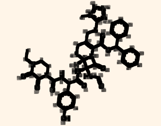 CCN1CCN(C(=O)NC(C(=O)N[C@]2(NC=O)C(=O)N3C(C(=O)OC(c4ccccc4)c4ccccc4)=C(CSc4nnnn4C)CS[C@H]32)c2ccc(O)cc2)C(=O)C1=O